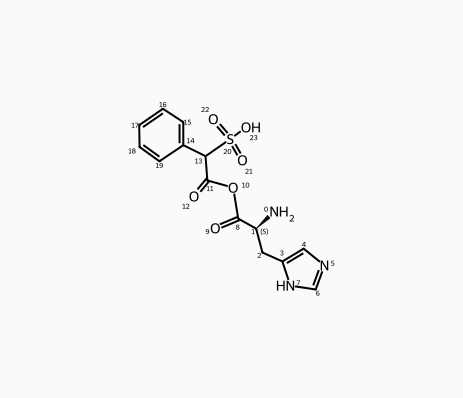 N[C@@H](Cc1cnc[nH]1)C(=O)OC(=O)C(c1ccccc1)S(=O)(=O)O